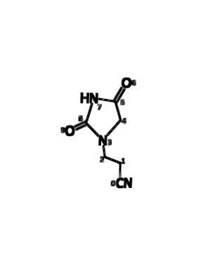 N#CCCN1CC(=O)NC1=O